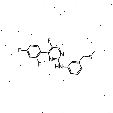 CSCc1cccc(Nc2ncc(F)c(-c3ccc(F)cc3F)n2)c1